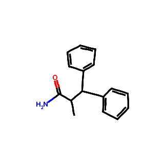 CC(C(N)=O)C(c1ccccc1)c1ccccc1